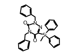 C[Si](c1ccccc1)(c1ccccc1)c1nn(Cc2ccccc2)c(=O)n(Cc2ccccc2)c1=O